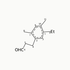 CCc1cc(CCC=O)c(C)cc1C